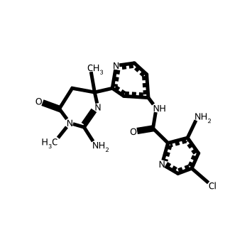 CN1C(=O)CC(C)(c2cc(NC(=O)c3ncc(Cl)cc3N)ccn2)N=C1N